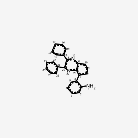 Nc1ccccc1-c1cccc2nc(-c3ccccc3)c(-c3ccccc3)nc12